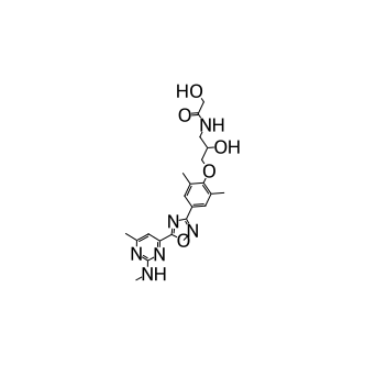 CNc1nc(C)cc(-c2nc(-c3cc(C)c(OCC(O)CNC(=O)CO)c(C)c3)no2)n1